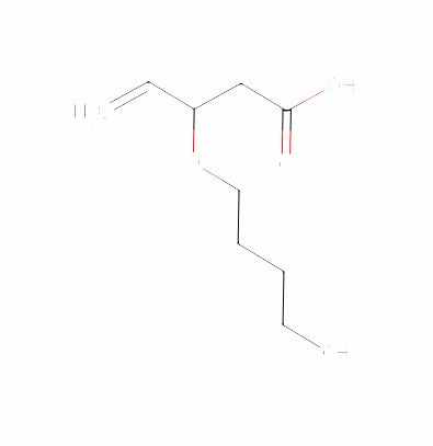 C=CC(CC(=O)O)OCCCCC